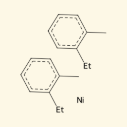 CCc1ccccc1C.CCc1ccccc1C.[Ni]